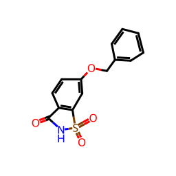 O=C1NS(=O)(=O)c2cc(OCc3ccccc3)ccc21